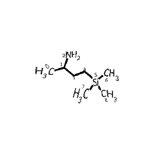 CC(N)CC[Si](C)(C)C